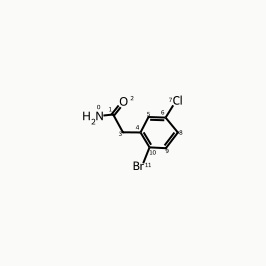 NC(=O)Cc1cc(Cl)ccc1Br